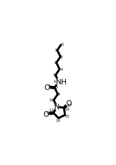 CCCCCCNC(=O)CCN1C(=O)CCC1=O